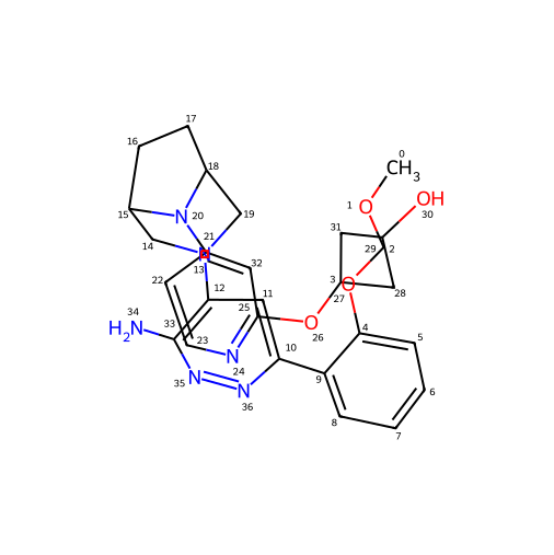 COCOc1ccccc1-c1cc(N2CC3CCC(C2)N3c2ccnc(OC3CC(O)C3)c2)c(N)nn1